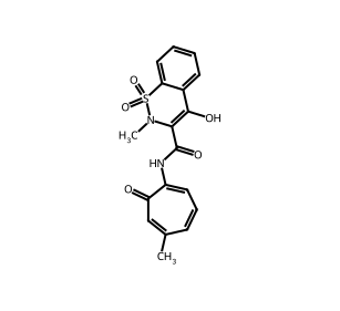 Cc1cccc(NC(=O)C2=C(O)c3ccccc3S(=O)(=O)N2C)c(=O)c1